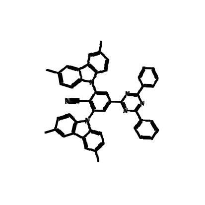 Cc1ccc2c(c1)c1cc(C)ccc1n2-c1cc(-c2nc(-c3ccccc3)nc(-c3ccccc3)n2)cc(-n2c3ccc(C)cc3c3cc(C)ccc32)c1C#N